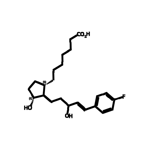 O=C(O)CCCCCC[C@H]1CC[C@@H](O)C1CCC(O)C=Cc1ccc(F)cc1